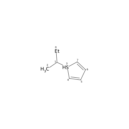 CCC(C)[SH]1C=CC=C1